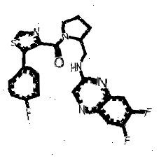 O=C(c1ncsc1-c1ccc(F)cc1)N1CCCC1CNc1cnc2cc(F)c(F)cc2n1